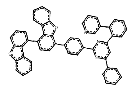 c1ccc(-c2cc(-c3ccccc3-c3cccnc3)nc(-c3ccc(-c4ccc(-c5cccc6sc7ccccc7c56)c5c4oc4ccccc45)cc3)n2)cc1